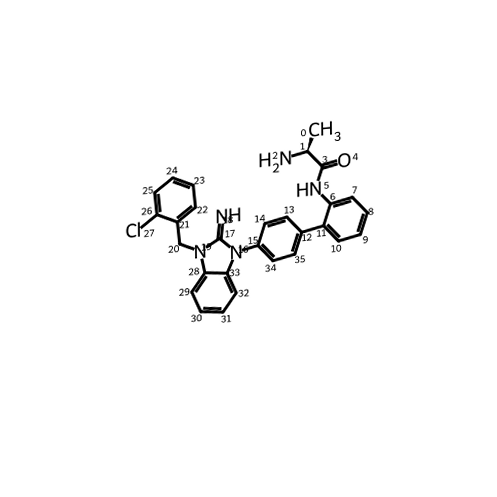 C[C@H](N)C(=O)Nc1ccccc1-c1ccc(-n2c(=N)n(Cc3ccccc3Cl)c3ccccc32)cc1